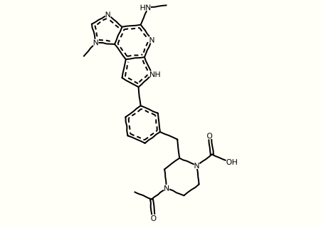 CNc1nc2[nH]c(-c3cccc(CC4CN(C(C)=O)CCN4C(=O)O)c3)cc2c2c1ncn2C